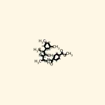 COC(=O)c1ccc(C(=O)NN=C(C)c2nn(C)c(-c3cc(C)cc(C)c3)c2O)cc1